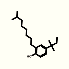 CCC(C)(C)c1ccc(O)c(CCCCCCC(C)C)c1